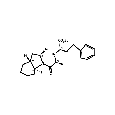 CCOC(=O)[C@H](CCc1ccccc1)N[C@@H](C)C(=O)N1[C@H](C(C)=O)C[C@H]2CCCC[C@@H]21